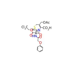 CC(=O)OCC1=C(C(=O)O)N2C(=O)[C@@](NC(=O)COc3ccccc3)(C(=O)OCC(Cl)(Cl)Cl)[C@H]2SC1